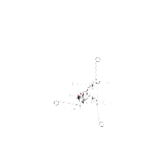 CCCCCCCCCCC[C@H](CC(=O)NC1CC(NC(=O)C[C@@H](CCCCCCCCCCC)OCCCCCCCCc2ccccc2)[C@H](OP(=O)(O)O)C(CO)O[C@H]1OC[C@H](NC(=O)C[C@@H](CCCCCCCCCCC)OCCCCCCCCc1ccccc1)C(=O)O)OCCCCCCCCc1ccccc1